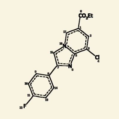 CCOC(=O)c1cc(Cl)c2nc(-c3ccc(F)cc3)cn2c1